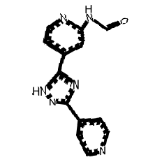 O=CNc1cc(-c2nc(-c3ccncc3)n[nH]2)ccn1